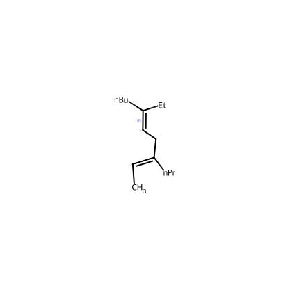 CC=C(C/[C]=C(\CC)CCCC)CCC